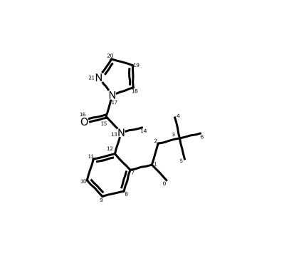 CC(CC(C)(C)C)c1ccccc1N(C)C(=O)n1cccn1